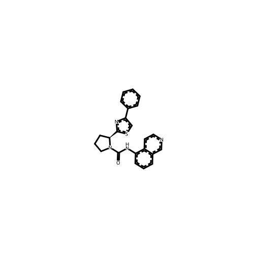 O=C(Nc1cccc2cnccc12)N1CCC[C@H]1c1nc(-c2ccccc2)cs1